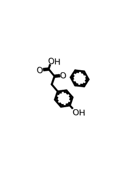 O=C(O)C(=O)Cc1ccc(O)cc1.c1ccccc1